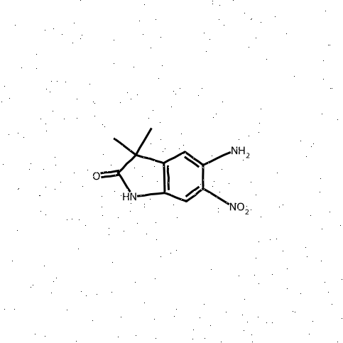 CC1(C)C(=O)Nc2cc([N+](=O)[O-])c(N)cc21